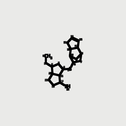 CCC1CC(SC2CC3CC2C2CC=CC32)C2C(S)CCC12